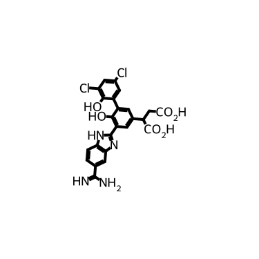 N=C(N)c1ccc2[nH]c(-c3cc(C(CC(=O)O)C(=O)O)cc(-c4cc(Cl)cc(Cl)c4O)c3O)nc2c1